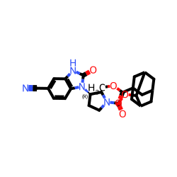 COC(=O)C12CC3CC(C1)C(OC(=O)N1CC[C@@H](n4c(=O)[nH]c5cc(C#N)ccc54)C1)C(C3)C2